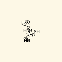 CCC1(C(=O)N(CC(=O)Nc2ccc3c(c2)CC(=O)Nc2ncccc2C3)Cc2ccccc2CNC)CCN(S(=O)(=O)NC)CC1